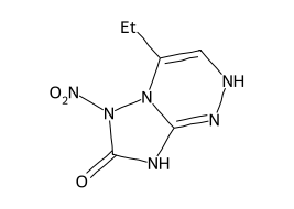 CCC1=CNN=C2NC(=O)N([N+](=O)[O-])N12